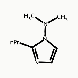 CCCc1nccn1N(C)C